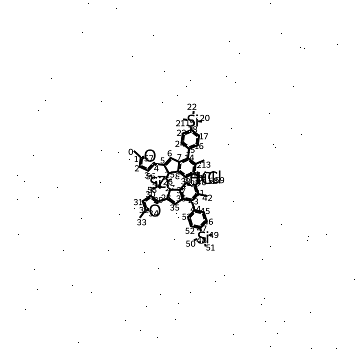 Cc1ccc(C2=Cc3c(cc(C)c(C)c3-c3ccc([Si](C)(C)C)cc3)[CH]2[Zr]([CH]2C(c3ccc(C)o3)=Cc3c2cc(C)c(C)c3-c2ccc([Si](C)(C)C)cc2)=[Si](C)C)o1.Cl.Cl